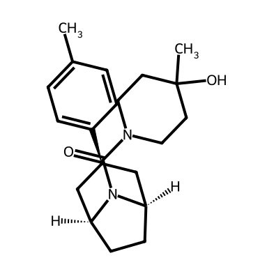 Cc1ccc([C@H]2C[C@H]3CC[C@@H](C2)N3C(=O)N2CCC(C)(O)CC2)cc1